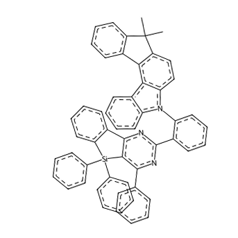 CC1(C)c2ccccc2-c2c1ccc1c2c2ccccc2n1-c1ccccc1-c1nc(-c2ccccc2)c2c(n1)-c1ccccc1[Si]2(c1ccccc1)c1ccccc1